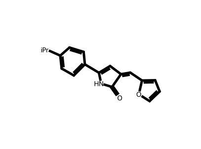 CC(C)c1ccc(C2=CC(=Cc3ccco3)C(=O)N2)cc1